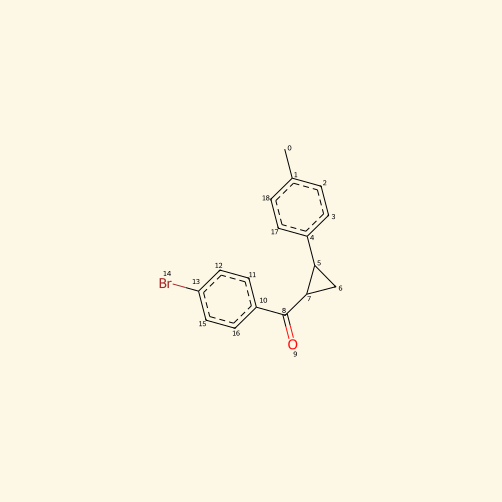 Cc1ccc(C2CC2C(=O)c2ccc(Br)cc2)cc1